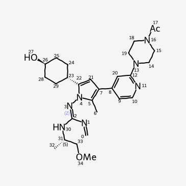 C=N/C(=N\n1c(C)c(-c2ccnc(N3CCN(C(C)=O)CC3)c2)cc1[C@H]1CC[C@H](O)CC1)N[C@@H](C)COC